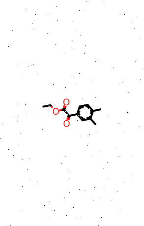 CCOC(=O)C(=O)c1ccc(C)c(C)c1